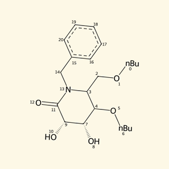 CCCCOCC1C(OCCCC)[C@H](O)[C@H](O)C(=O)N1Cc1ccccc1